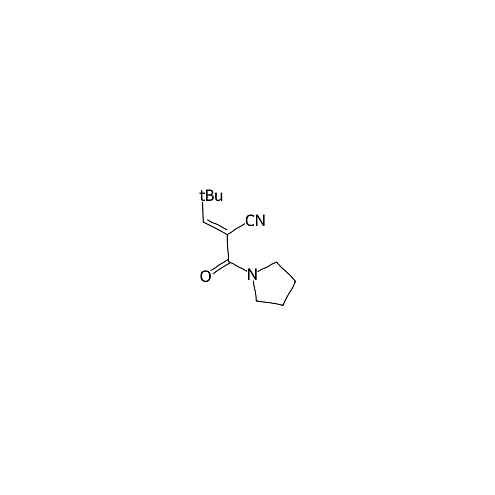 CC(C)(C)/C=C(\C#N)C(=O)N1CCCC1